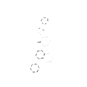 CCN(CC)Cc1c(-c2ccccc2)ccc(N2CCCC(NS(=O)(=O)c3ccc(Cl)s3)C2=O)c1F